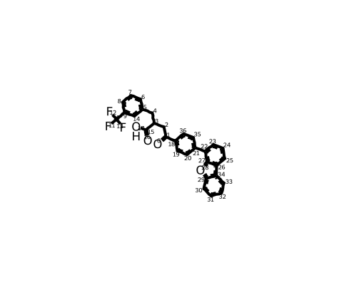 O=C(CC(Cc1cccc(C(F)(F)F)c1)C(=O)O)c1ccc(-c2cccc3c2oc2ccccc23)cc1